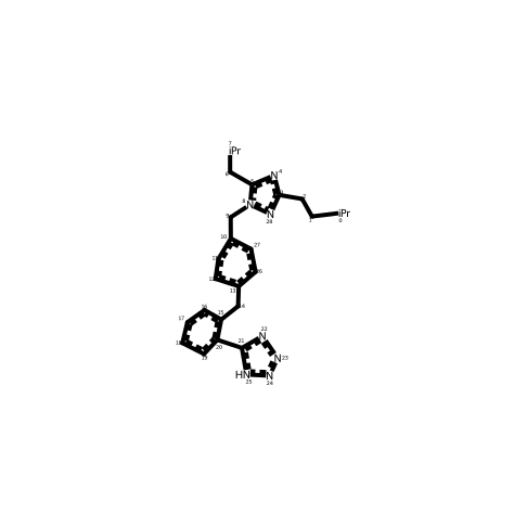 CC(C)CCc1nc(CC(C)C)n(Cc2ccc(Cc3ccccc3-c3nnn[nH]3)cc2)n1